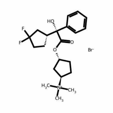 C[N+](C)(C)[C@@H]1CC[C@@H](OC(=O)[C@](O)(c2ccccc2)[C@@H]2CCC(F)(F)C2)C1.[Br-]